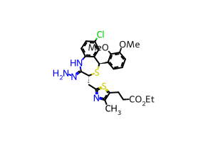 CCOC(=O)CCc1sc(C[C@H]2S[C@H](c3cccc(OC)c3OC)c3cc(Cl)ccc3NC2=NN)nc1C